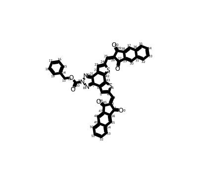 O=C1C(=Cc2cc3c4nn(C(=O)OCc5ccccc5)nc4c4cc(C=C5C(=O)c6cc7ccccc7cc6C5=O)sc4c3s2)C(=O)c2cc3ccccc3cc21